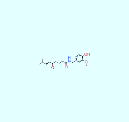 COc1cc(CNC(=O)CCCC(=O)/C=C/C(C)C)ccc1O